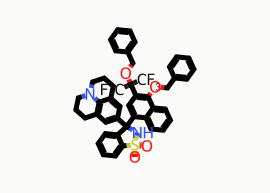 O=S1(=O)NC(c2cc3c4c(c2)CCCN4CCC3)(c2cc(C(OCc3ccccc3)(C(F)(F)F)C(F)(F)F)c(OCc3ccccc3)c3ccccc23)c2ccccc21